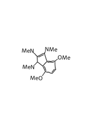 CNC1=C(NC)C(NC)c2c(OC)ccc(OC)c21